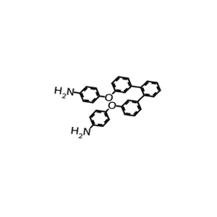 Nc1ccc(Oc2cccc(-c3ccccc3-c3cccc(Oc4ccc(N)cc4)c3)c2)cc1